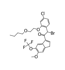 CCCCOCCOc1cc(Cl)ccc1C(Br)C(=O)C1=CCc2cc(OC)c(OC(F)(F)F)cc21